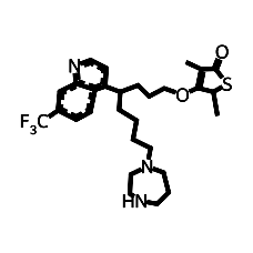 CC1=C(OCCCC(CCCCN2CCCNCC2)c2ccnc3cc(C(F)(F)F)ccc23)C(C)SC1=O